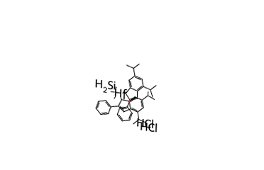 CC(C)c1cc(C(C)C)c2c(c1)[CH]([Hf]([CH3])([CH3])(=[SiH2])[CH]1C(c3ccccc3)=Cc3c(C(C)C)cc(C(C)C)cc31)C(c1ccccc1)=C2.Cl.Cl